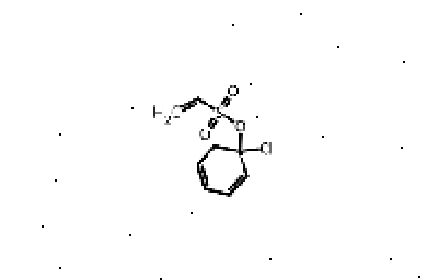 C=CS(=O)(=O)OC1(Cl)C=CC=CC1